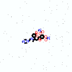 COc1ccc2c(c1)c(C=C1Oc3cc(OC(=O)N(C)C)cc(OC(=O)N(C)C)c3C1=O)c(C)n2CCN1CCN(C)CC1